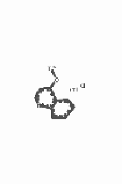 [Cl-].[Cl-].[Cl-].[Ti+3][O]c1ccnc2ccccc12